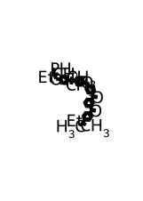 CCC(C)(CP)Oc1ccc(C(C)(C)c2ccc(Oc3ccc(C(=O)c4cccc(C(=O)c5ccc(C(C)(C)CC)cc5)c4)cc3)cc2)cc1